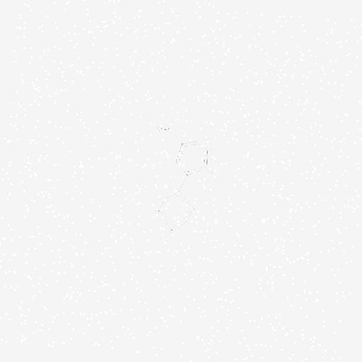 CNc1ccnc(-c2ccccn2)c1